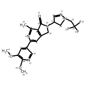 COc1cc(-c2cc3c(c(C)n2)C(=O)N(C2C=NN(CC(F)(F)F)C2)C3)cnc1OC